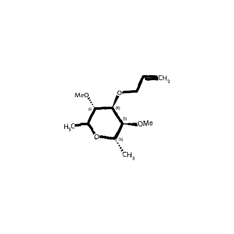 C=CCO[C@H]1[C@@H](OC)[C@H](C)OC(C)[C@@H]1OC